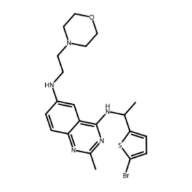 Cc1nc(NC(C)c2ccc(Br)s2)c2cc(NCCN3CCOCC3)ccc2n1